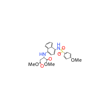 COC(=O)CC(Nc1ccc(NS(=O)(=O)c2ccc(OC)cc2)c2ccccc12)C(=O)OC